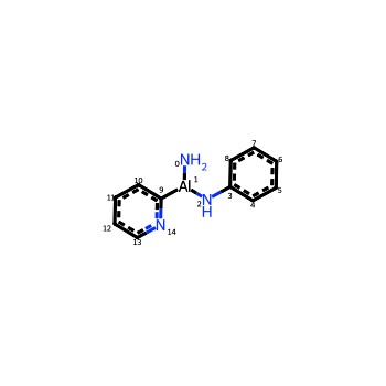 [NH2][Al]([NH]c1ccccc1)[c]1ccccn1